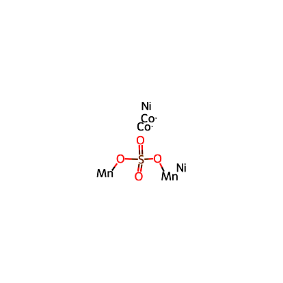 O=S(=O)([O][Mn])[O][Mn].[Co].[Co].[Ni].[Ni]